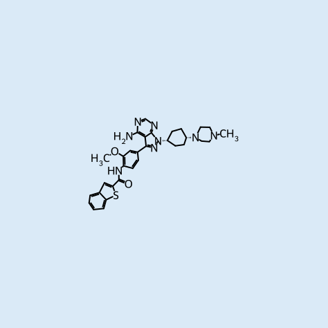 COc1cc(-c2nn([C@H]3CC[C@@H](N4CCN(C)CC4)CC3)c3ncnc(N)c23)ccc1NC(=O)c1cc2ccccc2s1